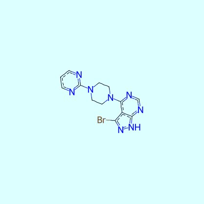 Brc1n[nH]c2ncnc(N3CCN(c4ncccn4)CC3)c12